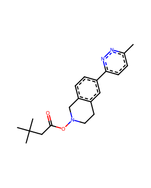 Cc1ccc(-c2ccc3c(c2)CCN(OC(=O)CC(C)(C)C)C3)nn1